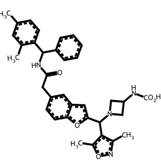 Cc1ccc(C(NC(=O)Cc2ccc3oc(C(c4c(C)noc4C)N4CC(NC(=O)O)C4)cc3c2)c2ccccc2)c(C)c1